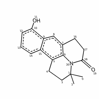 CC1(C)CCc2c3c(cc4c(O)cccc24)CCC(=O)N31